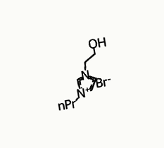 CCC[n+]1ccn(CCO)c1.[Br-]